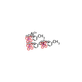 CCCCCCCCCCOP(=O)([O-])Oc1ccc(C)cc1.CCCCCCCCCCOP(=O)([O-])Oc1ccc(C)cc1.CCCCCCCCCCOP(=O)([O-])Oc1ccc(C)cc1.[Al+3]